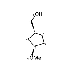 CO[C@@H]1CC[C@H](CO)C1